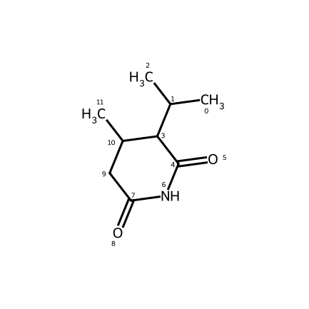 CC(C)C1C(=O)NC(=O)CC1C